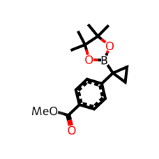 COC(=O)c1ccc(C2(B3OC(C)(C)C(C)(C)O3)CC2)cc1